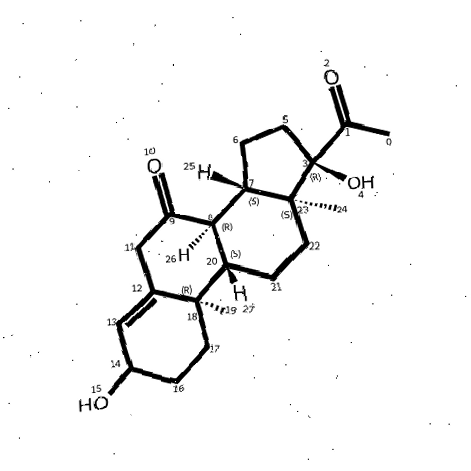 CC(=O)[C@@]1(O)CC[C@H]2[C@@H]3C(=O)CC4=CC(O)CC[C@]4(C)[C@H]3CC[C@@]21C